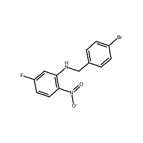 O=[N+]([O-])c1ccc(F)cc1NCc1ccc(Br)cc1